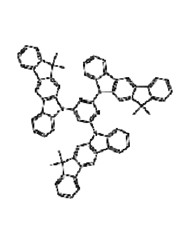 CC1(C)c2ccccc2-c2cc3c4ccccc4n(-c4cc(-n5c6ccccc6c6cc7c(cc65)C(C)(C)c5ccccc5-7)nc(-n5c6ccccc6c6cc7c(cc65)C(C)(C)c5ccccc5-7)n4)c3cc21